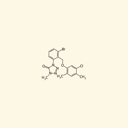 Cc1cc(C)c(OCc2c(Br)cccc2-n2nnn(C)c2=O)cc1Cl